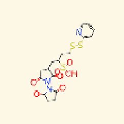 O=C1CCC(=O)N1N1C(=O)CC(CC(CCSSc2ccccn2)S(=O)(=O)O)C1=O